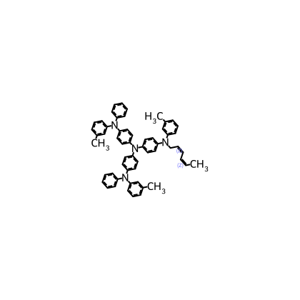 C/C=C\C=C/CN(c1ccc(N(c2ccc(N(c3ccccc3)c3cccc(C)c3)cc2)c2ccc(N(c3ccccc3)c3cccc(C)c3)cc2)cc1)c1cccc(C)c1